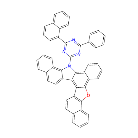 c1ccc(-c2nc(-c3cccc4ccccc34)nc(-n3c4c5ccccc5ccc4c4c5c6ccc7ccccc7c6oc5c5ccccc5c43)n2)cc1